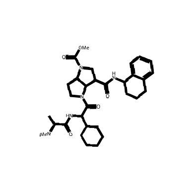 CNC(C)C(=O)NC(C(=O)N1CCC2C1C(C(=O)NC1CCCc3ccccc31)CN2C(=O)OC)C1CCCCC1